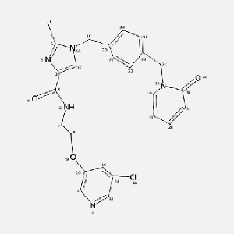 Cc1nc(C(=O)NCCOc2cncc(Cl)c2)cn1Cc1ccc(Cn2ccccc2=O)cc1